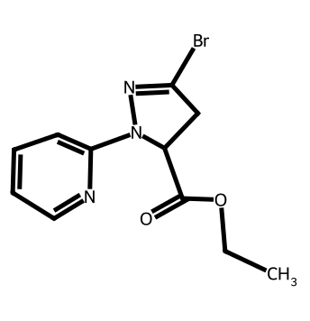 CCOC(=O)C1CC(Br)=NN1c1ccccn1